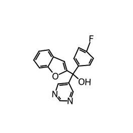 OC(c1ccc(F)cc1)(c1cncnc1)c1cc2ccccc2o1